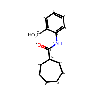 O=C(O)c1ccccc1NC(=O)C1CCCCCC1